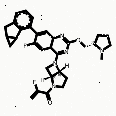 C=C(F)C(=O)N1CC[C@@H]2[C@H]1CN2C1=NC(OC[C@@H]2CCCN2C)=NC2C=C(c3cccc4c3C3CC3C4)C(F)=CC12